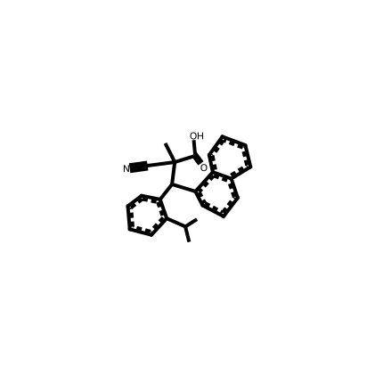 CC(C)c1ccccc1C(c1cccc2ccccc12)C(C)(C#N)C(=O)O